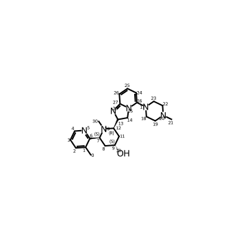 Cc1cccnc1[C@@H]1C[C@@H](O)C[C@H](C2CN3C(N4CCN(C)CC4)=CC=CC3=N2)N1C